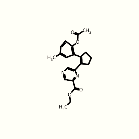 CCOC(=O)c1cncc(C2=C(c3cc(C)ccc3OC(C)=O)CCC2)n1